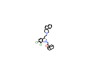 O=C(CNC[C@@H](CCN1CCC2(C=Cc3ccccc32)CC1)c1ccc(Cl)c(Cl)c1)C12CC3CC(CC(C3)C1)C2